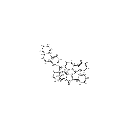 c1ccc(N(c2ccc3c(c2)C2(c4ccccc4-3)c3ccccc3-c3oc4ccccc4c32)c2ccc3c(ccc4ccccc43)c2)cc1